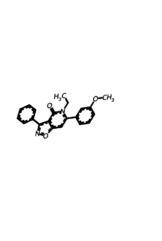 CCn1c(-c2cccc(OC)c2)cc2onc(-c3ccccc3)c2c1=O